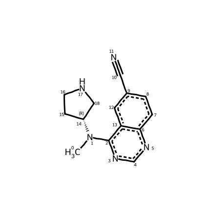 CN(c1ncnc2ccc(C#N)cc12)[C@@H]1CCNC1